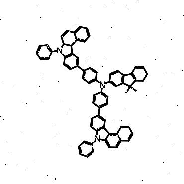 CC1(C)C2=C(C=CCC2)c2ccc(N(c3ccc(-c4ccc5c(c4)C4c6ccccc6C=CC4N5c4ccccc4)cc3)c3ccc(-c4ccc5c(c4)c4c6c(ccc4n5-c4ccccc4)C=CCC6)cc3)cc21